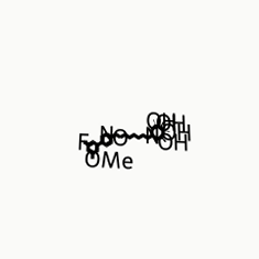 COc1cc(F)cc(-c2ccc(COCCCCCCN3C[C@H](O)[C@@H](O)[C@H](O)[C@@H](O)C3)nc2)c1